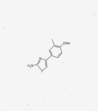 COc1ccc(-c2csc(N)n2)cc1C